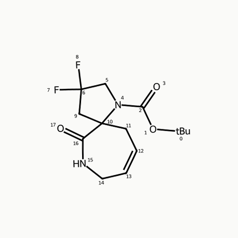 CC(C)(C)OC(=O)N1CC(F)(F)CC12CC=CCNC2=O